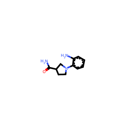 NC(=O)C1CCN(c2ccccc2N)C1